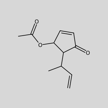 C=CC(C)C1C(=O)C=CC1OC(C)=O